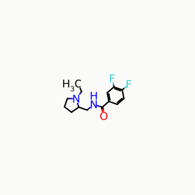 CCN1CCCC1CNC(=O)c1ccc(F)c(F)c1